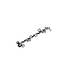 NCCNC(=O)CCOCCOCCNCCCN1C(=O)C=CC1=O